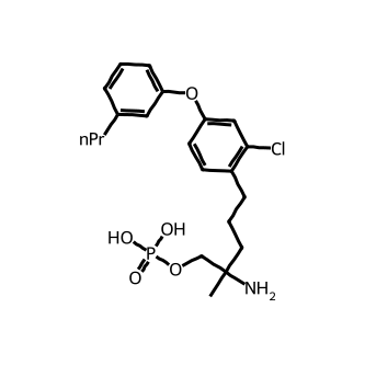 CCCc1cccc(Oc2ccc(CCCC(C)(N)COP(=O)(O)O)c(Cl)c2)c1